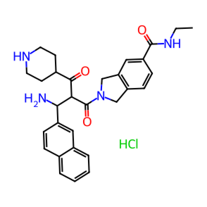 CCNC(=O)c1ccc2c(c1)CN(C(=O)C(C(=O)C1CCNCC1)C(N)c1ccc3ccccc3c1)C2.Cl